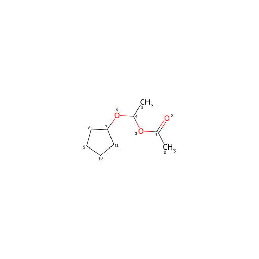 CC(=O)OC(C)OC1CCCC1